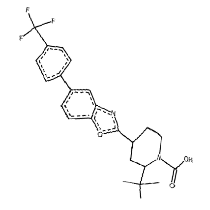 CC(C)(C)C1CC(c2nc3cc(-c4ccc(C(F)(F)F)cc4)ccc3o2)CCN1C(=O)O